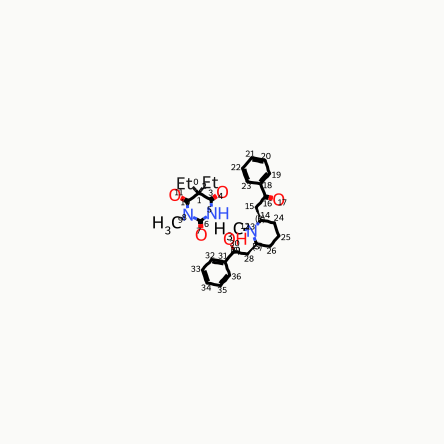 CCC1(CC)C(=O)NC(=O)N(C)C1=O.CN1[C@@H](CC(=O)c2ccccc2)CCC[C@H]1C[C@H](O)c1ccccc1